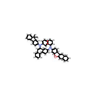 CC1(C)c2ccccc2-c2ccc(N(c3ccccc3)c3cc4ccccc4c4ccc(N(c5ccccc5)c5ccc6c(c5)oc5cc7ccccc7cc56)cc34)cc21